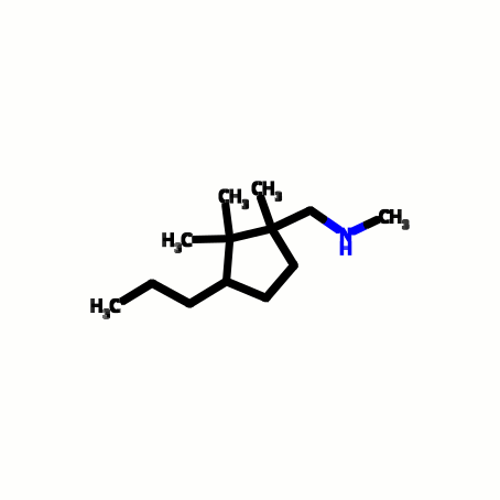 CCCC1CCC(C)(CNC)C1(C)C